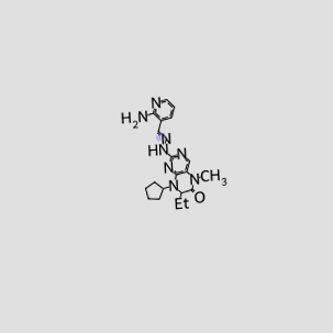 CCC1C(=O)N(C)c2cnc(N/N=C/c3cccnc3N)nc2N1C1CCCC1